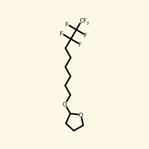 FC(F)(F)C(F)(F)C(F)(F)CCCCCCOC1CCCO1